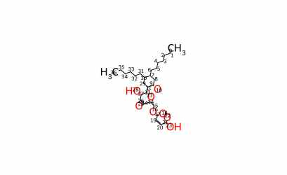 CCCCCCCC1CC(=O)C(C2OC(COC(=O)/C=C\C(=O)O)C3OC3C2O)CC1CCCCCC